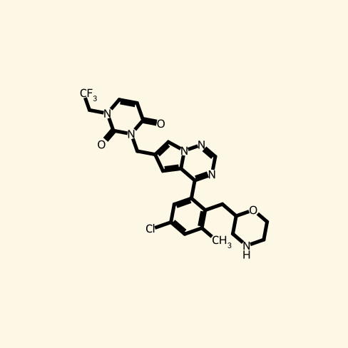 Cc1cc(Cl)cc(-c2ncnn3cc(Cn4c(=O)ccn(CC(F)(F)F)c4=O)cc23)c1CC1CNCCO1